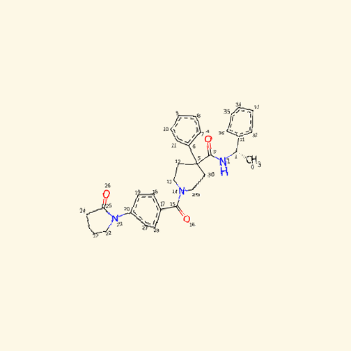 C[C@H](NC(=O)C1(c2ccccc2)CCN(C(=O)c2ccc(N3CCCC3=O)cc2)CC1)c1ccccc1